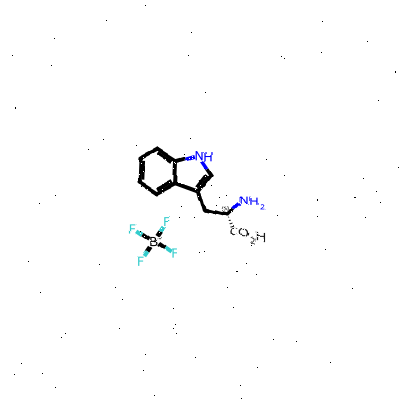 F[B-](F)(F)F.N[C@@H](Cc1c[nH]c2ccccc12)C(=O)O